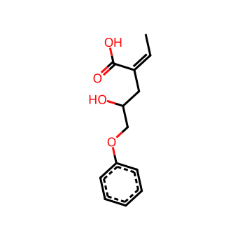 C/C=C(/CC(O)COc1ccccc1)C(=O)O